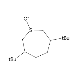 CC(C)(C)C1CCC(C(C)(C)C)C[S+]([O-])C1